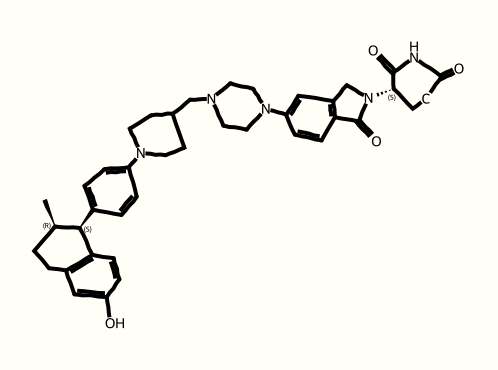 C[C@@H]1CCc2cc(O)ccc2[C@@H]1c1ccc(N2CCC(CN3CCN(c4ccc5c(c4)CN([C@H]4CCC(=O)NC4=O)C5=O)CC3)CC2)cc1